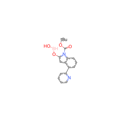 CC(C)(C)OC(=O)n1c(OBO)cc2c(-c3ccccn3)cccc21